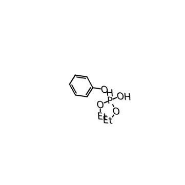 CCO[PH](O)(OCC)Oc1ccccc1